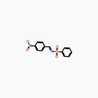 O=[N+]([O-])c1ccc(C=NS(=O)(=O)c2ccccc2)cc1